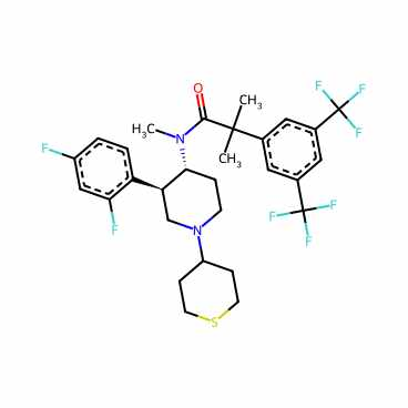 CN(C(=O)C(C)(C)c1cc(C(F)(F)F)cc(C(F)(F)F)c1)[C@@H]1CCN(C2CCSCC2)C[C@H]1c1ccc(F)cc1F